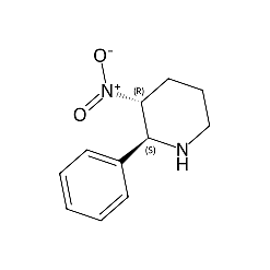 O=[N+]([O-])[C@@H]1CCCN[C@H]1c1ccccc1